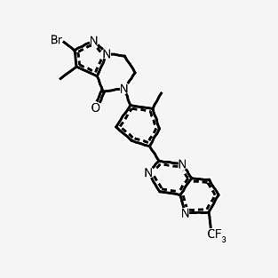 Cc1cc(-c2ncc3nc(C(F)(F)F)ccc3n2)ccc1N1CCn2nc(Br)c(C)c2C1=O